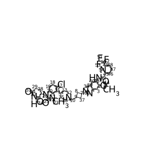 COc1cc2nn([C@H]3C[C@H](CN4CCC(c5c(Cl)ccc6c5n(C)c(=O)n6[C@H]5CCC(=O)NC5=O)CC4)C3)cc2cc1NC(=O)c1cccc(C(F)(F)F)n1